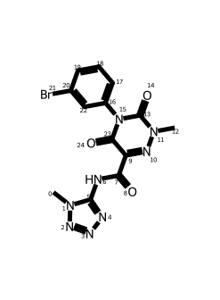 Cn1nnnc1NC(=O)c1nn(C)c(=O)n(-c2cccc(Br)c2)c1=O